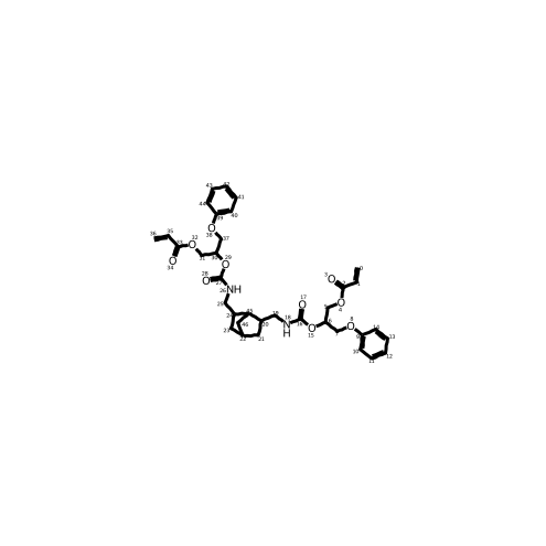 C=CC(=O)OCC(COc1ccccc1)OC(=O)NCC1CC2CC(CNC(=O)OC(COC(=O)C=C)COc3ccccc3)C1C2